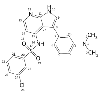 CN(C)c1cccc(-c2c[nH]c3nccc(NS(=O)(=O)c4cccc(Cl)c4)c23)c1